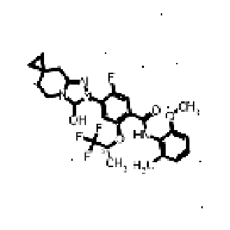 COc1cccc(C)c1NC(=O)c1cc(F)c(N2N=C3CC4(CCN3C2O)CC4)cc1O[C@@H](C)C(F)(F)F